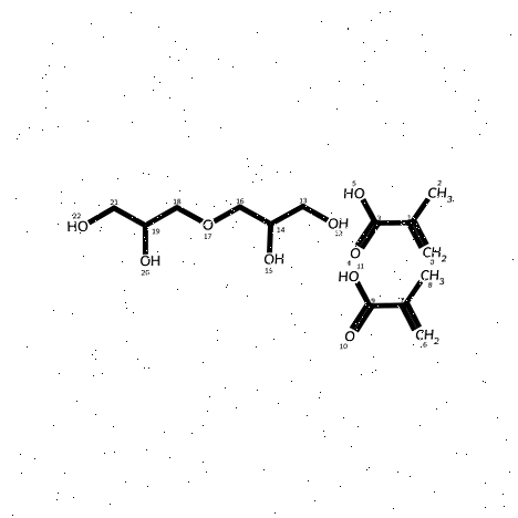 C=C(C)C(=O)O.C=C(C)C(=O)O.OCC(O)COCC(O)CO